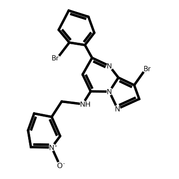 [O-][n+]1cccc(CNc2cc(-c3ccccc3Br)nc3c(Br)cnn23)c1